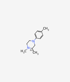 Cc1ccc(N2CCN(C)[C@H](C)C2)cc1